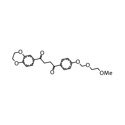 COCCOCOc1ccc(C(=O)CCC(=O)c2ccc3c(c2)OCCO3)cc1